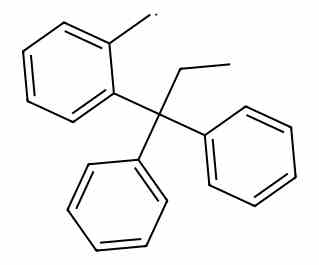 [CH2]c1ccccc1C(CC)(c1ccccc1)c1ccccc1